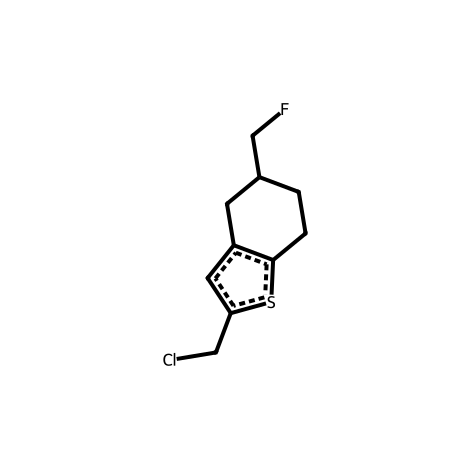 FCC1CCc2sc(CCl)cc2C1